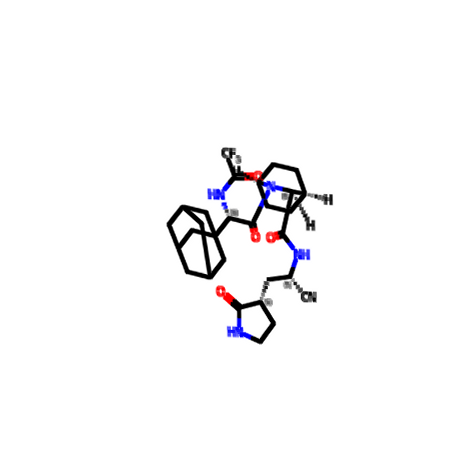 N#C[C@H](C[C@@H]1CCNC1=O)NC(=O)[C@@H]1[C@H]2CC[C@H](CC2)N1C(=O)[C@@H](NC(=O)C(F)(F)F)C12CC3CC(CC(C3)C1)C2